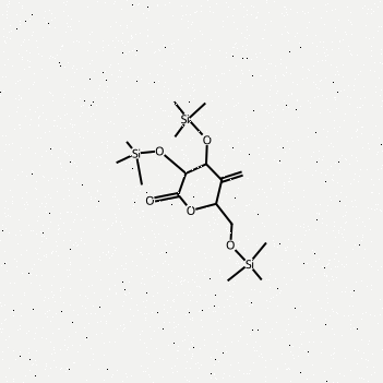 C=C1C(CO[Si](C)(C)C)OC(=O)C(O[Si](C)(C)C)C1O[Si](C)(C)C